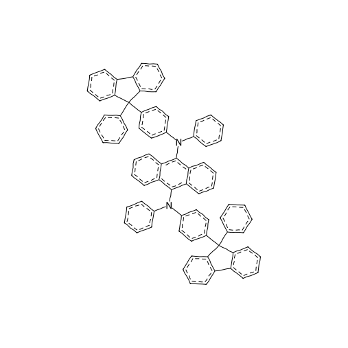 c1ccc(N(c2ccc(C3(c4ccccc4)c4ccccc4-c4ccccc43)cc2)c2c3ccccc3c(N(c3ccccc3)c3ccc(C4(c5ccccc5)c5ccccc5-c5ccccc54)cc3)c3ccccc23)cc1